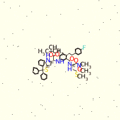 CON(C)C(=O)[C@H](CCSC)NC(=O)c1cc(NC(C(=O)OC(C)(C)C)[C@@H]2C[C@H](SC(c3ccccc3)(c3ccccc3)c3ccccc3)CN2)ccc1CCc1ccc(F)cc1